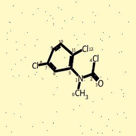 CN(C(=O)Cl)c1cc(Cl)ccc1Cl